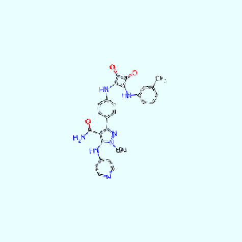 CC(C)(C)n1nc(-c2ccc(Nc3c(Nc4cccc(C(F)(F)F)c4)c(=O)c3=O)cc2)c(C(N)=O)c1Nc1ccncc1